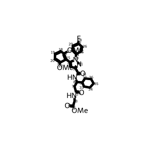 COC(=O)CNC(=O)CC(NC(=O)c1cc(-c2c(OC)cccc2OC)n(-c2ccc(F)cc2)n1)C1CCCCC1